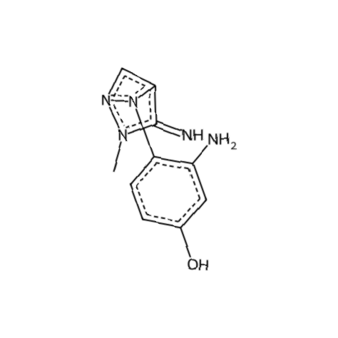 Cn1c(=N)c2cn1n2-c1ccc(O)cc1N